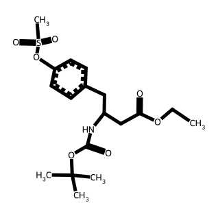 CCOC(=O)CC(Cc1ccc(OS(C)(=O)=O)cc1)NC(=O)OC(C)(C)C